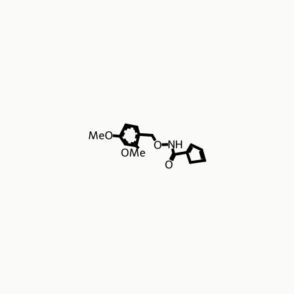 COc1ccc(CONC(=O)C2=CC=CC2)c(OC)c1